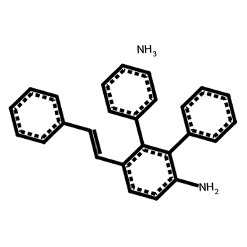 N.Nc1ccc(C=Cc2ccccc2)c(-c2ccccc2)c1-c1ccccc1